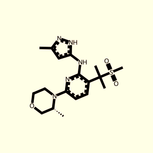 Cc1cc(Nc2nc(N3CCOC[C@H]3C)ccc2C(C)(C)S(C)(=O)=O)[nH]n1